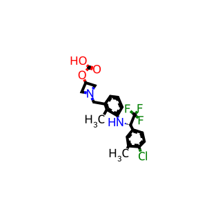 Cc1cc([C@H](Nc2cccc(CN3CC(OC(=O)O)C3)c2C)C(F)(F)F)ccc1Cl